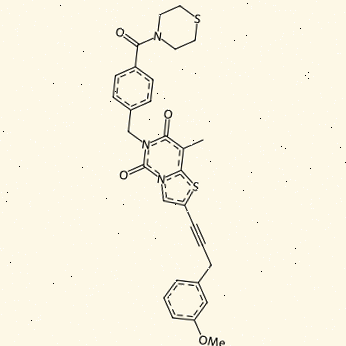 COc1cccc(CC#Cc2cn3c(=O)n(Cc4ccc(C(=O)N5CCSCC5)cc4)c(=O)c(C)c3s2)c1